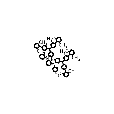 Cc1cccc(C)c1-c1ccc(C(c2ccc(-c3c(C)cccc3C)cc2)c2ccc3c(c2)N(c2ccccc2)c2cccc4c2B3c2ccc(C(c3ccc(-c5c(C)cccc5C)cc3)c3ccc(-c5c(C)cccc5C)cc3)cc2N4c2ccccc2)cc1